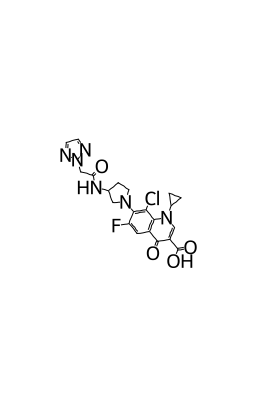 O=C(Cn1nccn1)NC1CCN(c2c(F)cc3c(=O)c(C(=O)O)cn(C4CC4)c3c2Cl)C1